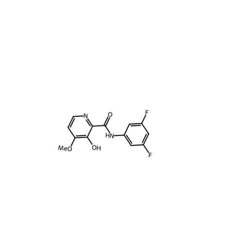 COc1ccnc(C(=O)Nc2cc(F)cc(F)c2)c1O